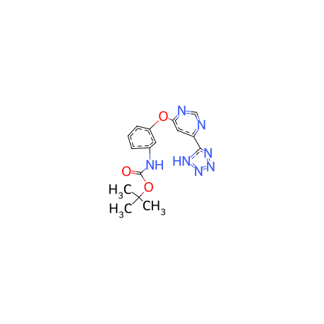 CC(C)(C)OC(=O)Nc1cccc(Oc2cc(-c3nnn[nH]3)ncn2)c1